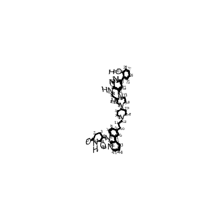 O=C1CCC(n2c3ccc(CCCN4CCC(N5CCN6c7cc(-c8ccccc8O)nnc7NC[C@H]6C5)CC4)cc3c3cccnc32)C(=O)N1